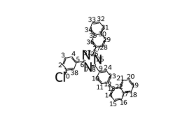 Clc1cccc(-c2nc(-c3ccc(-c4cccc5ccccc45)cc3)nc(-c3ccc4ccccc4c3)n2)c1